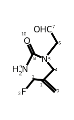 C=C(CF)CN(CC=O)C(N)=O